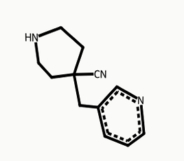 N#CC1(Cc2cccnc2)CCNCC1